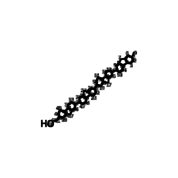 Cc1ccc2c(c1)Cc1cc(-c3ccc4c(c3)Cc3cc(-c5ccc6c(c5)Cc5cc(-c7ccc8c(c7)Cc7cc(CCO)ccc7-8)ccc5-6)ccc3-4)ccc1-2